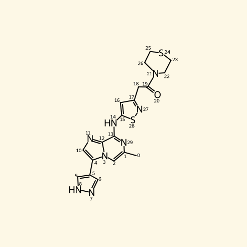 Cc1cn2c(-c3cn[nH]c3)cnc2c(Nc2cc(CC(=O)N3CCSCC3)ns2)n1